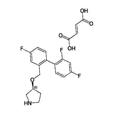 Fc1ccc(-c2ccc(F)cc2CO[C@H]2CCNC2)c(F)c1.O=C(O)C=CC(=O)O